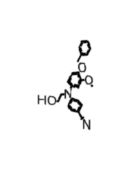 COc1cc(N(CCO)c2ccc(C#N)cc2)ccc1OCc1ccccc1